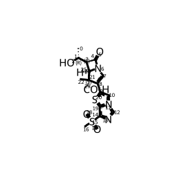 C[C@@H](O)[C@H]1C(=O)N2C=C(c3cn4cnc(S(C)(=O)=O)c4s3)[C@](C)(C(=O)O)[C@@H]12